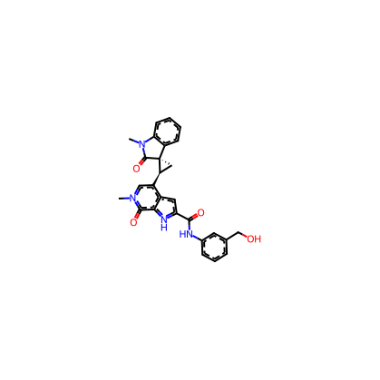 CN1C(=O)[C@@]2(C[C@H]2c2cn(C)c(=O)c3[nH]c(C(=O)Nc4cccc(CO)c4)cc23)c2ccccc21